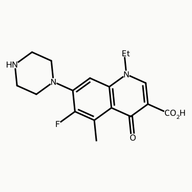 CCn1cc(C(=O)O)c(=O)c2c(C)c(F)c(N3CCNCC3)cc21